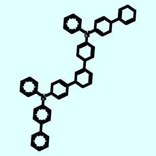 C1=CC(C2C=CC(N(C3=CCC(C4=CC(C5=CCC(N(c6ccccc6)c6ccc(-c7ccccc7)cc6)C=C5)CC=C4)C=C3)c3ccccc3)=CC2)=CCC1